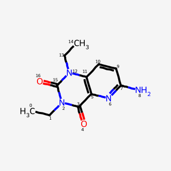 CCn1c(=O)c2nc(N)ccc2n(CC)c1=O